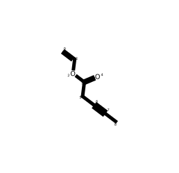 C=COC(=O)CC#CC